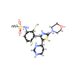 CCCS(=O)(=O)Nc1ccc(F)c(-c2nc(N3CCOCC3)sc2-c2ccncn2)c1F